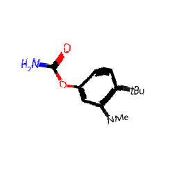 CNc1cc(OC(N)=O)ccc1C(C)(C)C